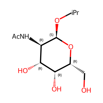 CC(=O)N[C@H]1[C@@H](OC(C)C)O[C@H](CO)[C@H](O)[C@@H]1O